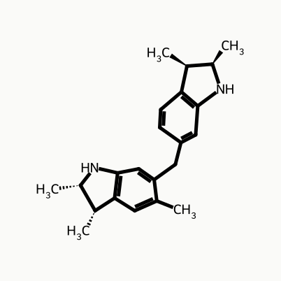 Cc1cc2c(cc1Cc1ccc3c(c1)N[C@H](C)[C@@H]3C)N[C@@H](C)[C@H]2C